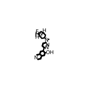 CN(c1ccc(-c2cc3cnccc3cc2O)nn1)[C@H]1C[C@@H]2CC(F)(F)[C@H](C1)N2